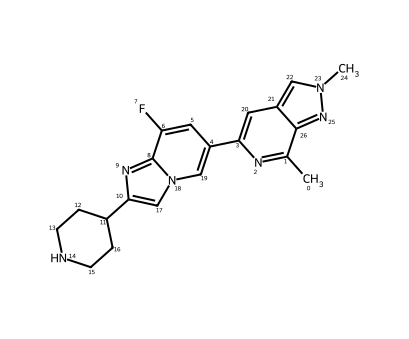 Cc1nc(-c2cc(F)c3nc(C4CCNCC4)cn3c2)cc2cn(C)nc12